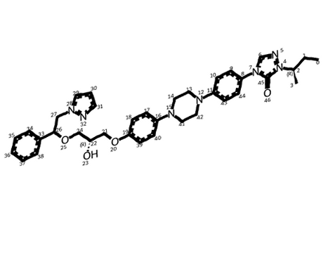 CC[C@@H](C)n1ncn(-c2ccc(N3CCN(c4ccc(OC[C@H](O)COC(Cn5cccn5)c5ccccc5)cc4)CC3)cc2)c1=O